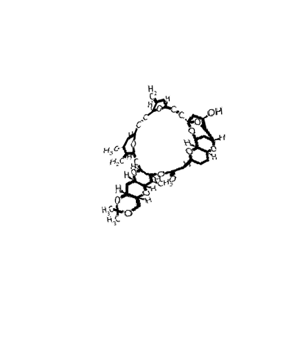 C=C1C[C@@H]2CC[C@]34C[C@@H](O)C(O3)[C@H]3CC(O4)[C@H]4O[C@H](CC[C@@H]4O3)CC(=O)O[C@@H]3[C@@H](C)[C@@H]4O[C@@H]5COC(C)(C)O[C@@H]5C[C@@H]4O[C@H]3C[C@H]3O[C@@H](CC[C@@H]1O2)C[C@@H](C)C3=C